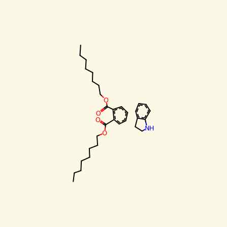 CCCCCCCCOC(=O)c1ccccc1C(=O)OCCCCCCCC.c1ccc2c(c1)CCN2